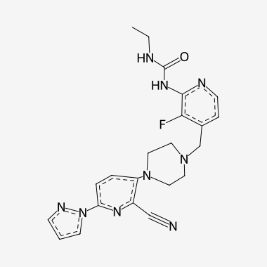 CCNC(=O)Nc1nccc(CN2CCN(c3ccc(-n4cccn4)nc3C#N)CC2)c1F